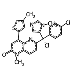 Cc1csc(-c2cc(=O)n(C)c3ccc([C@](Cl)(c4ccc(Cl)cc4)c4cncn4C)nc23)c1